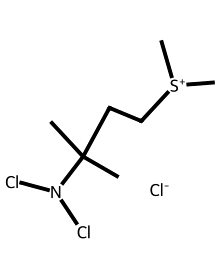 C[S+](C)CCC(C)(C)N(Cl)Cl.[Cl-]